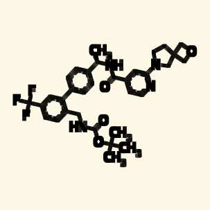 C[C@@H](NC(=O)c1ccnc(N2CCC3(COC3)C2)c1)c1ccc(-c2cc(C(F)(F)F)ccc2CNC(=O)OC(C)(C)C)cc1